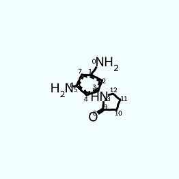 Nc1cccc(N)c1.O=C1CCCN1